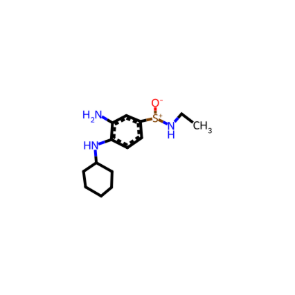 CCN[S+]([O-])c1ccc(NC2CCCCC2)c(N)c1